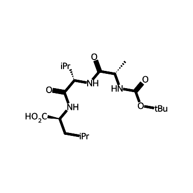 CC(C)C[C@H](NC(=O)[C@@H](NC(=O)[C@H](C)NC(=O)OC(C)(C)C)C(C)C)C(=O)O